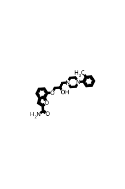 Cc1ccccc1N1CCN(CC(O)COc2cccc3cc(C(N)=O)oc23)CC1